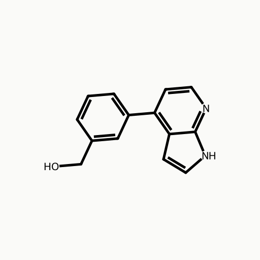 OCc1cccc(-c2ccnc3[nH]ccc23)c1